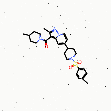 Cc1ccc(S(=O)(=O)N2CCC(c3ccn4nc(C)c(C(=O)N5CCC(C)CC5)c4c3)CC2)cc1